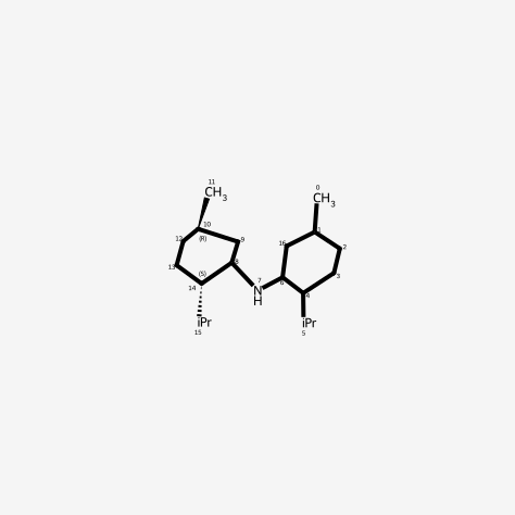 CC1CCC(C(C)C)C(NC2C[C@H](C)CC[C@H]2C(C)C)C1